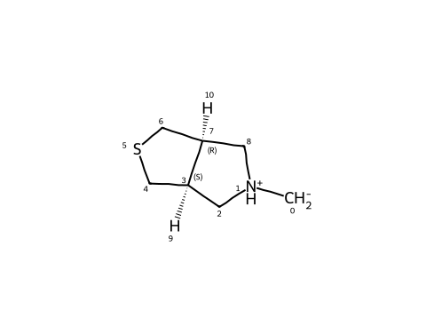 [CH2-][NH+]1C[C@H]2CSC[C@H]2C1